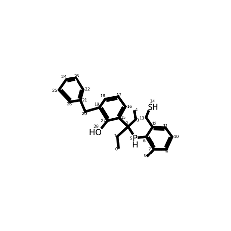 CCC(CC)(Pc1c(C)cccc1CS)c1cccc(Cc2ccccc2)c1O